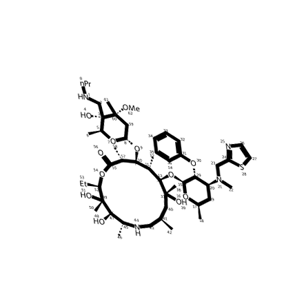 CCCNC[C@]1(O)[C@H](C)O[C@@H](O[C@H]2[C@H](C)[C@@H](O[C@@H]3O[C@H](C)C[C@H](N(C)Cc4nccs4)[C@H]3Oc3ccccc3)[C@](C)(O)C[C@@H](C)CN[C@H](C)[C@@H](O)[C@](C)(O)[C@@H](CC)OC(=O)[C@@H]2C)C[C@@]1(C)OC